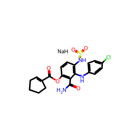 NC(=O)c1c(OC(=O)C2=CCCCC2)ccc(N[SH](=O)=O)c1Nc1ccc(Cl)cc1.[NaH]